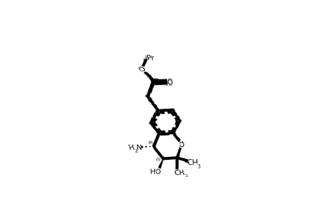 CC(C)OC(=O)Cc1ccc2c(c1)[C@@H](N)[C@H](O)C(C)(C)O2